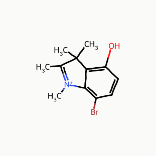 CC1=[N+](C)c2c(Br)ccc(O)c2C1(C)C